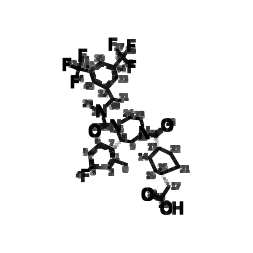 Cc1cc(F)ccc1[C@H]1CN(C(=O)[C@H]2CC[C@@H](CC(=O)O)CC2)CCN1C(=O)N(C)C(C)c1cc(C(F)(F)F)cc(C(F)(F)F)c1